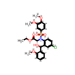 CCOC(=O)CN(c1ccc(Cl)cc1C(O)c1ccccc1OC)S(=O)(=O)c1ccc(OC)c(OC)c1